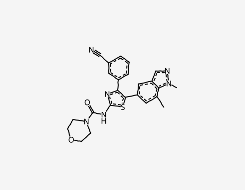 Cc1cc(-c2sc(NC(=O)N3CCOCC3)nc2-c2cccc(C#N)c2)cc2cnn(C)c12